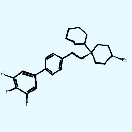 CC[C@H]1CC[C@](CCc2ccc(-c3cc(F)c(F)c(F)c3)cc2)(C2CCCCC2)CC1